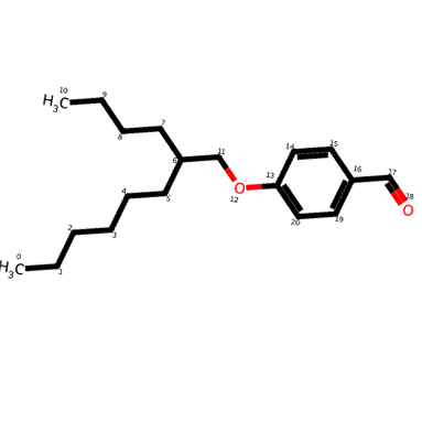 CCCCCCC(CCCC)COc1ccc(C=O)cc1